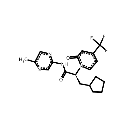 Cc1cnc(NC(=O)[C@H](CC2CCCC2)n2ccc(C(F)(F)F)cc2=O)cn1